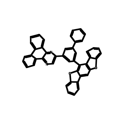 c1ccc(-c2cc(-c3cnc4c5ccccc5c5ccccc5c4n3)cc(-c3c4oc5ccccc5c4cc4oc5ccccc5c34)c2)cc1